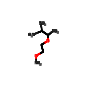 O=[N+]([O-])OCCOC(C([N+](=O)[O-])[N+](=O)[O-])[N+](=O)[O-]